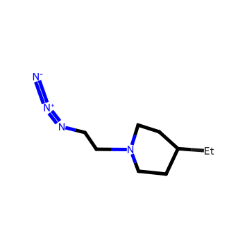 CCC1CCN(CCN=[N+]=[N-])CC1